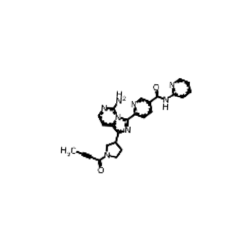 CC#CC(=O)N1CCC(c2nc(-c3ccc(C(=O)Nc4ccccn4)cn3)n3c(N)nccc23)C1